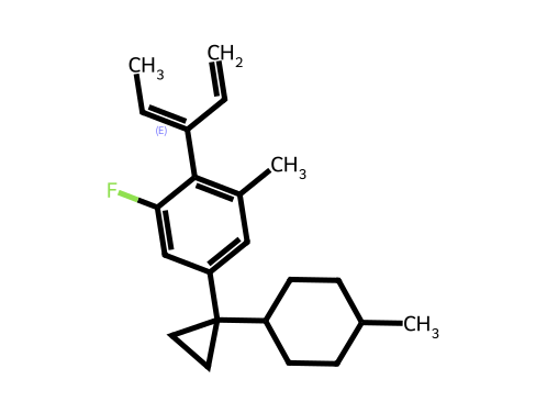 C=C/C(=C\C)c1c(C)cc(C2(C3CCC(C)CC3)CC2)cc1F